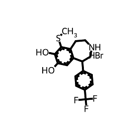 Br.CSc1c(O)c(O)cc2c1CCNCC2c1ccc(C(F)(F)F)cc1